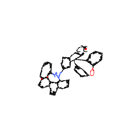 c1ccc(N(c2ccc3c(c2)C2(c4ccccc4Oc4ccccc42)c2ccccc2-3)c2cccc3ccc4ccccc4c23)cc1